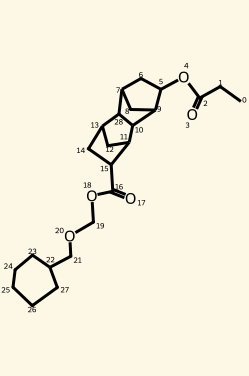 CCC(=O)OC1CC2CC1C1C3CC(CC3C(=O)OCOCC3CCCCC3)C21